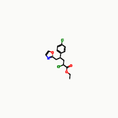 CCOC(=O)C(Cl)CC(Cc1ncco1)c1ccc(Cl)cc1